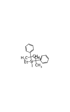 CC[Si](I)(C(C)(C)c1ccccc1)C(C)(C)c1ccccc1